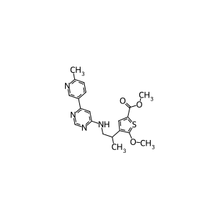 COC(=O)c1cc(C(C)CNc2cc(-c3ccc(C)nc3)ncn2)c(OC)s1